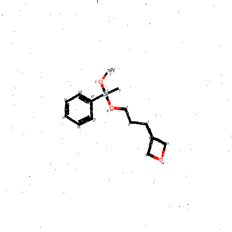 CCCO[Si](C)(OCCCC1COC1)c1ccccc1